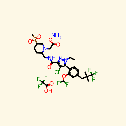 CCn1nc(C(=O)NCC2CCC(S(C)(=O)=O)CN2CC(=O)ON)c(Cl)c1-c1ccc(CC(C)(C)C(F)(F)F)cc1OC(F)F.O=C(O)C(F)(F)F